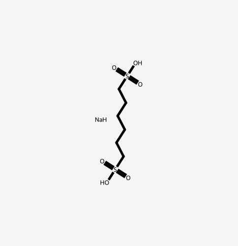 O=S(=O)(O)CCCCCCS(=O)(=O)O.[NaH]